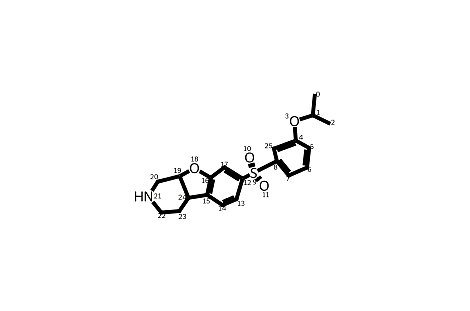 CC(C)Oc1cccc(S(=O)(=O)c2ccc3c(c2)OC2CNCCC32)c1